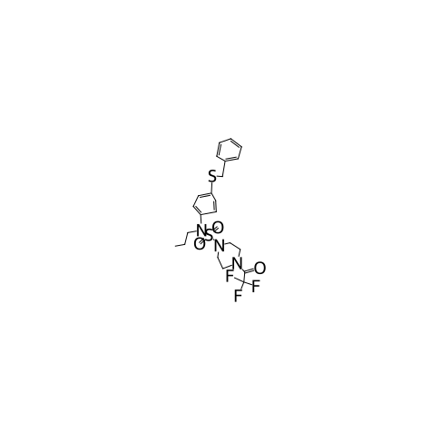 CCCN(c1ccc(SCc2ccccc2)cc1)S(=O)(=O)N1CCN(C(=O)C(F)(F)F)CC1